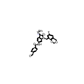 O=Cc1ccc(C(=O)Nc2ccc3c(c2)N(Cc2cc(F)cc4c2OCOC4)C(=O)/C3=N\O)cc1